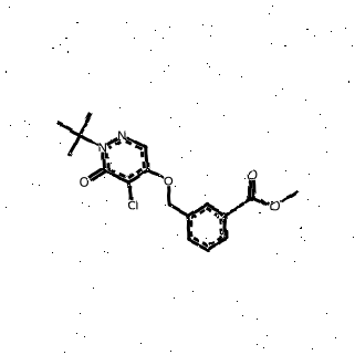 COC(=O)c1cccc(COc2cnn(C(C)(C)C)c(=O)c2Cl)c1